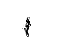 O=C(NN1CCN(C[C@H](O)COc2ccc(Cl)c(F)c2)CC1)c1ccc2cc(Cl)ccc2n1